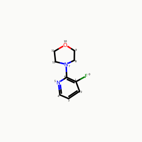 Fc1[c]ccnc1N1CCOCC1